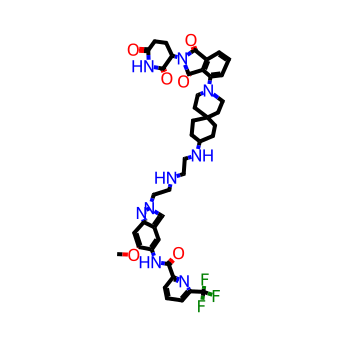 COc1cc2nn(CCNCCNC3CCC4(CC3)CCN(c3cccc5c3C(=O)N(C3CCC(=O)NC3=O)C5=O)CC4)cc2cc1NC(=O)c1cccc(C(F)(F)F)n1